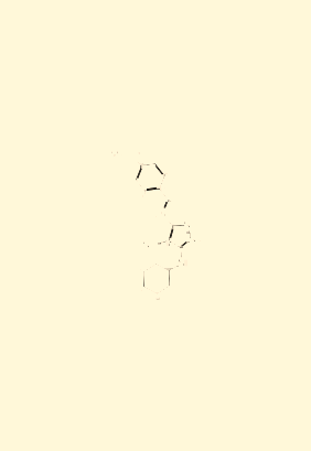 COc1ccc(/C=N/c2[nH]nc(NC3CCCCC3)c2C#N)cc1